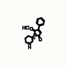 Cl.O=C1C=C(c2ccccc2)C(=O)N1[C@@H]1CCCNC1